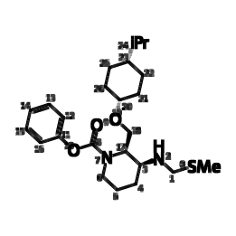 CSCN[C@H]1CCCN(C(=O)Oc2ccccc2)[C@H]1CO[C@H]1CC[C@@H](C(C)C)CC1